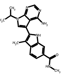 CNC(=O)c1ccc2c(C)c(-c3cn(C(C)C)c4ncnc(N)c34)[nH]c2c1